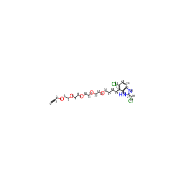 C#CCOCCOCCOCCOCCOCCCCc1c(Cl)ccc2nc(CCl)[nH]c12